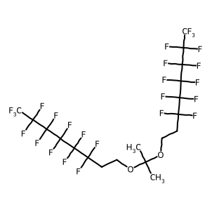 CC(C)(OCCC(F)(F)C(F)(F)C(F)(F)C(F)(F)C(F)(F)C(F)(F)F)OCCC(F)(F)C(F)(F)C(F)(F)C(F)(F)C(F)(F)C(F)(F)F